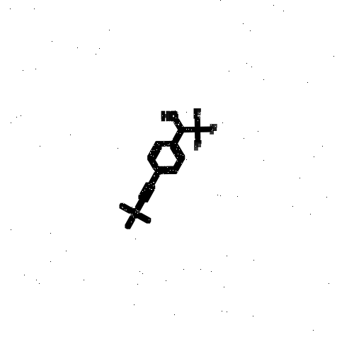 C[Si](C)(C)C#Cc1ccc(C(O)C(F)(F)F)cc1